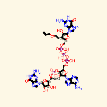 C=CCOCC[C@@H]1[C@@H](COP(=O)(O)OP(=O)(O)OP(=O)(O)OC[C@H]2O[C@@H](n3cnc4c(N)ncnc43)[C@H](OC)[C@@H]2OP(=O)(O)OC[C@H]2O[C@@H](n3cnc4c(=O)[nH]c(N)nc43)[C@H](O)[C@@H]2O)OC(n2c[n+](C)c3c(=O)[nH]c(N)nc32)[C@@H]1O